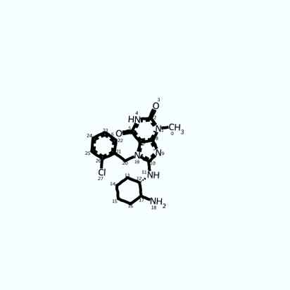 Cn1c(=O)[nH]c(=O)c2c1nc(N[C@H]1CCCCC1N)n2Cc1ccccc1Cl